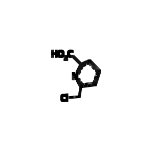 O=C(O)c1cccc(CCl)n1